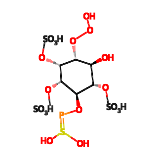 O=S(=O)(O)O[C@@H]1[C@H](OS(=O)(=O)O)[C@H](OOO)[C@@H](O)[C@H](OS(=O)(=O)O)[C@H]1OP=S(O)O